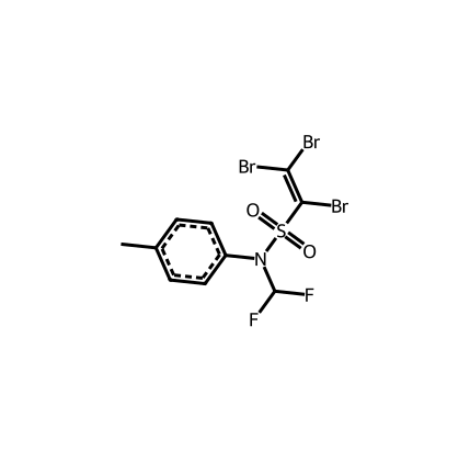 Cc1ccc(N(C(F)F)S(=O)(=O)C(Br)=C(Br)Br)cc1